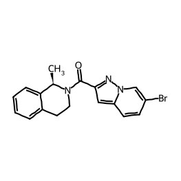 C[C@@H]1c2ccccc2CCN1C(=O)c1cc2ccc(Br)cn2n1